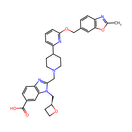 Cc1nc2ccc(COc3cccc(C4CCN(Cc5nc6ccc(C(=O)O)cc6n5C[C@@H]5CCO5)CC4)n3)cc2o1